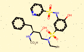 CC(C)CN(C[C@@H](O)[C@H](Cc1ccccc1)NC(=O)O)S(=O)(=O)c1ccc(O)c(NS(=O)(=O)c2cccnc2)c1